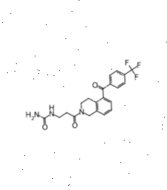 NC(=O)NCCC(=O)N1CCc2c(cccc2C(=O)c2ccc(C(F)(F)F)cc2)C1